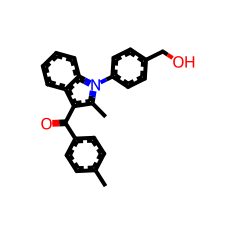 Cc1ccc(C(=O)c2c(C)n(-c3ccc(CO)cc3)c3ccccc23)cc1